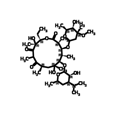 CC[C@@H]1OC(=O)[C@H](C)[C@@H](OC2C[C@@](C)(OC)[C@@H](O)[C@H](C)O2)[C@H](C)[C@@H](OC2O[C@H](C)C[C@H](N(C)C)[C@H]2O)[C@](C)(O)C[C@@H](C)C(=O)C(C)C(=O)[C@@]1(C)O